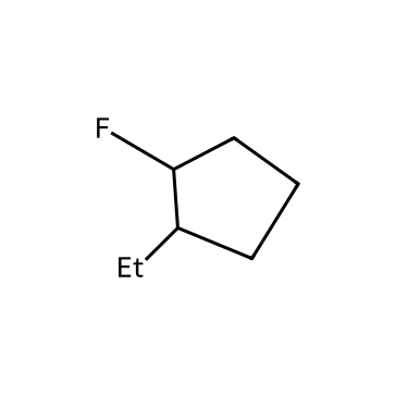 CCC1CCCC1F